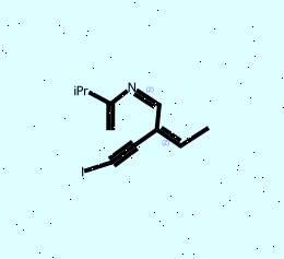 C=C(/N=C\C(C#CI)=C/C)C(C)C